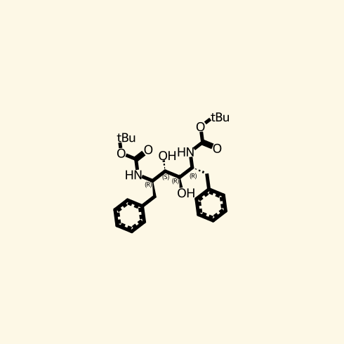 CC(C)(C)OC(=O)N[C@H](Cc1ccccc1)[C@H](O)[C@H](O)[C@@H](Cc1ccccc1)NC(=O)OC(C)(C)C